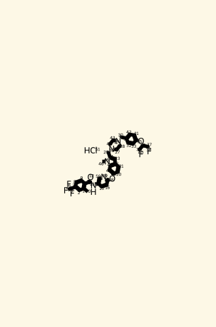 Cc1cc(C(F)(F)F)ccc1C(=O)Nc1ccc(Oc2ccc3cc(CN4CCN(Cc5ccc(OC(CF)CF)cc5)CC4)n(C)c3c2)nc1.Cl